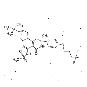 CC(C)(C)C1=CC=C(C2=C(C(=O)NS(C)(=O)=O)C(=O)N[C@](C)(c3ccc(OCCCC(F)(F)F)cc3)C2)CC1